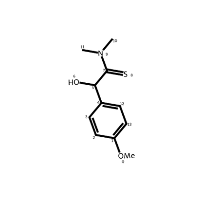 COc1ccc(C(O)C(=S)N(C)C)cc1